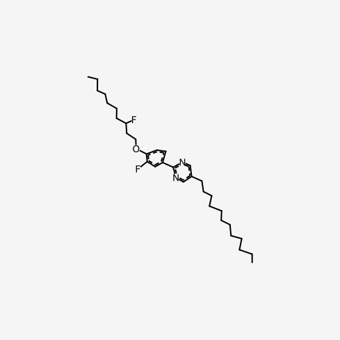 CCCCCCCCCCCCc1cnc(-c2ccc(OCCC(F)CCCCCCC)c(F)c2)nc1